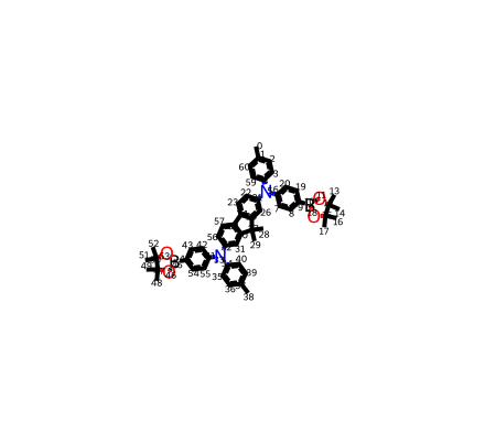 Cc1ccc(N(c2ccc(B3OC(C)(C)C(C)(C)O3)cc2)c2ccc3c(c2)C(C)(C)c2cc(N(c4ccc(C)cc4)c4ccc(B5OC(C)(C)C(C)(C)O5)cc4)ccc2-3)cc1